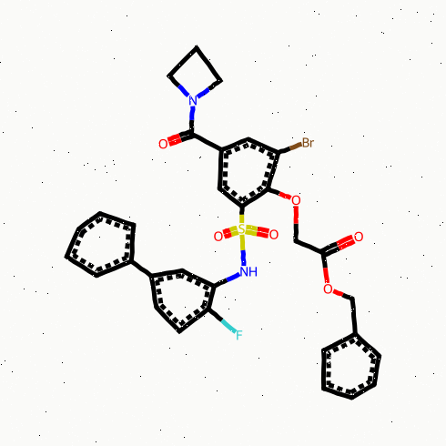 O=C(COc1c(Br)cc(C(=O)N2CCC2)cc1S(=O)(=O)Nc1cc(-c2ccccc2)ccc1F)OCc1ccccc1